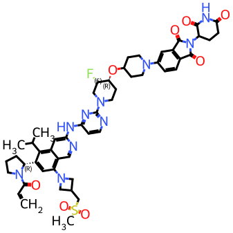 C=CC(=O)N1CCC[C@@H]1c1cc(N2CC(CS(C)(=O)=O)C2)c2cnc(Nc3ccnc(N4CC[C@@H](OC5CCN(c6ccc7c(c6)C(=O)N(C6CCC(=O)NC6=O)C7=O)CC5)[C@@H](F)C4)n3)cc2c1C(C)C